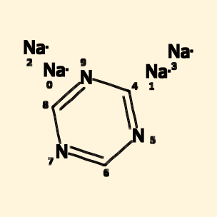 [Na].[Na].[Na].[Na].c1ncncn1